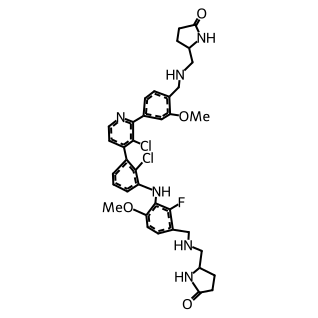 COc1cc(-c2nccc(-c3cccc(Nc4c(OC)ccc(CNCC5CCC(=O)N5)c4F)c3Cl)c2Cl)ccc1CNCC1CCC(=O)N1